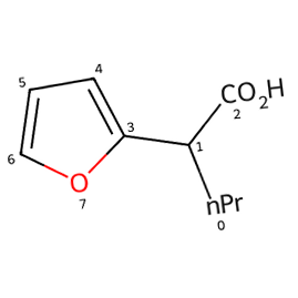 CCCC(C(=O)O)c1ccco1